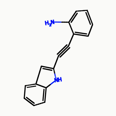 Nc1ccccc1C#Cc1cc2ccccc2[nH]1